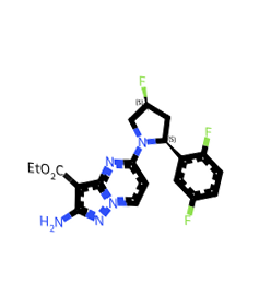 CCOC(=O)c1c(N)nn2ccc(N3C[C@@H](F)C[C@H]3c3cc(F)ccc3F)nc12